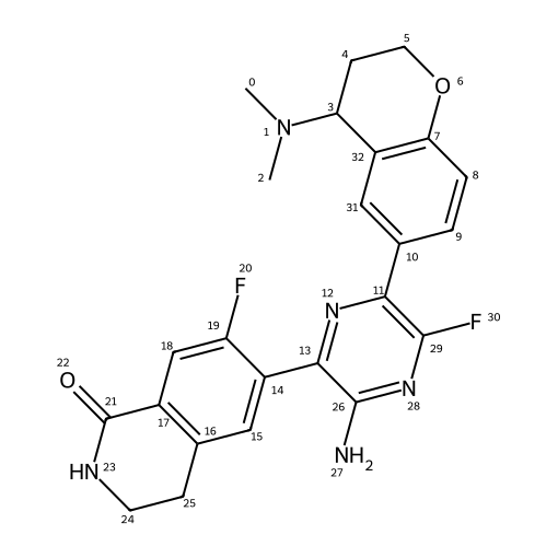 CN(C)C1CCOc2ccc(-c3nc(-c4cc5c(cc4F)C(=O)NCC5)c(N)nc3F)cc21